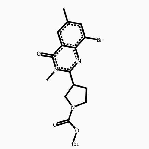 Cc1cc(Br)c2nc(C3CCN(C(=O)OC(C)(C)C)C3)n(C)c(=O)c2c1